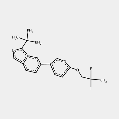 BC(C)(P)c1ncc2ccc(-c3ccc(OCC(C)(F)I)nc3)cn12